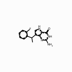 CC(c1ccccc1F)c1c[nH]c2c(=O)[nH]c(N)nc12